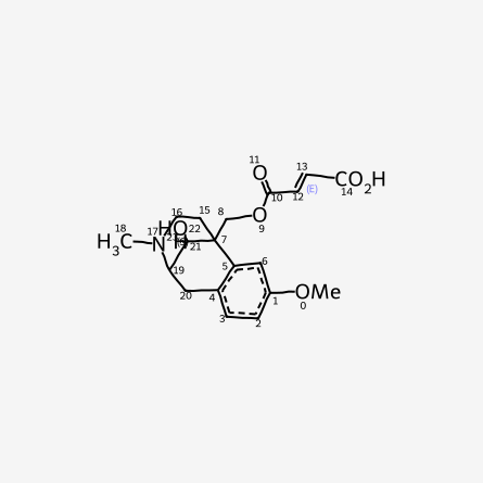 COc1ccc2c(c1)C1(COC(=O)/C=C/C(=O)O)CCN(C)C(C2)[C@H]1O